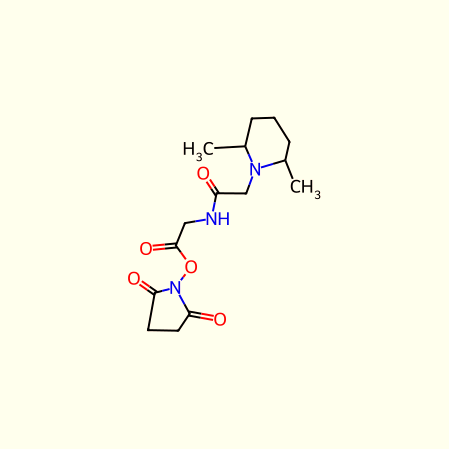 CC1CCCC(C)N1CC(=O)NCC(=O)ON1C(=O)CCC1=O